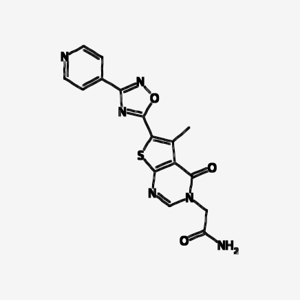 Cc1c(-c2nc(-c3ccncc3)no2)sc2ncn(CC(N)=O)c(=O)c12